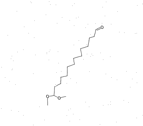 COC(CCCCCCCCCCCCC=O)OC